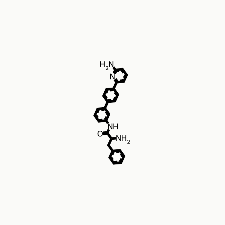 Nc1cccc(-c2ccc(-c3cccc(NC(=O)C(N)Cc4ccccc4)c3)cc2)n1